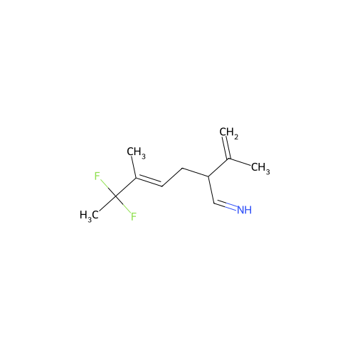 C=C(C)C(C=N)C/C=C(\C)C(C)(F)F